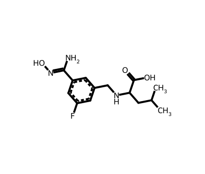 CC(C)CC(NCc1cc(F)cc(C(N)=NO)c1)C(=O)O